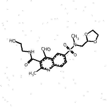 Cc1nc2ccc(S(=O)(=O)N(C)CC3OCCO3)cc2c(C=O)c1C(=O)NCCO